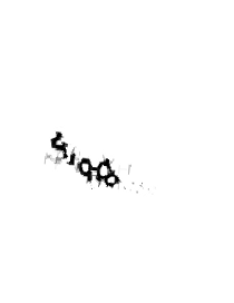 CNc1ccc2c(=O)c(-c3ccc(NC(=O)NS(=O)(=O)c4ccc(Cl)s4)cc3C)cc(=O)[nH]c2c1